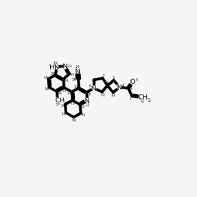 C=CC(=O)N1CC2(CCN(c3nc4c(c(-c5c(C)ccc6[nH]ncc56)c3C#N)CCCC4)C2)C1